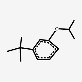 CC(C)Oc1cccc(C(C)(C)C)c1